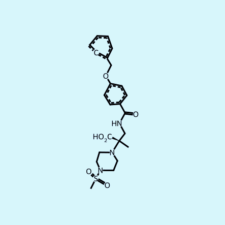 C[C@](CNC(=O)c1ccc(OCc2ccccc2)cc1)(C(=O)O)N1CCN(S(C)(=O)=O)CC1